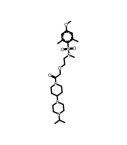 COc1cc(C)c(S(=O)(=O)N(C)CCOCC(=O)N2CCC(N3CCN(C(C)C)CC3)CC2)c(C)c1